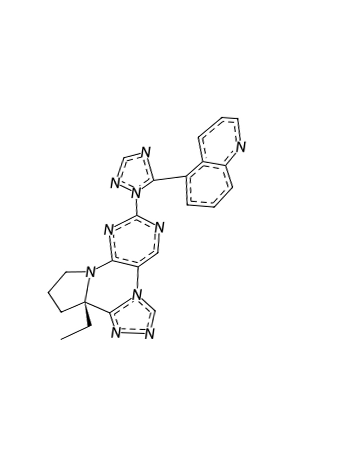 CC[C@@]12CCCN1c1nc(-n3ncnc3-c3cccc4ncccc34)ncc1-n1cnnc12